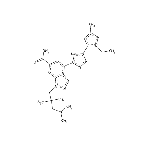 CCn1nc(C)cc1-c1nnc(-c2cc(C(N)=O)cc3c2cnn3CC(C)(C)CN(C)C)[nH]1